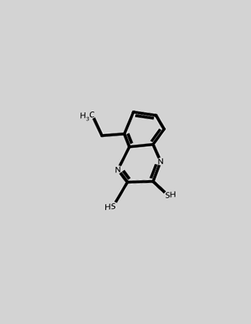 CCc1cccc2nc(S)c(S)nc12